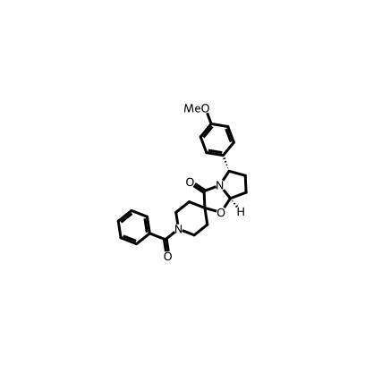 COc1ccc([C@@H]2CC[C@H]3OC4(CCN(C(=O)c5ccccc5)CC4)C(=O)N32)cc1